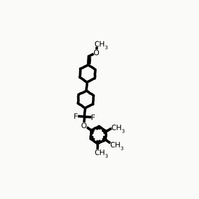 COC=C1CCC(C2CCC(C(F)(F)Oc3cc(C)c(C)c(C)c3)CC2)CC1